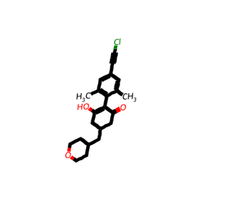 Cc1cc(C#CCl)cc(C)c1C1=C(O)CC(CC2CCOCC2)CC1=O